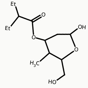 CCC(CC)C(=O)OC1CC(O)OC(CO)C1C